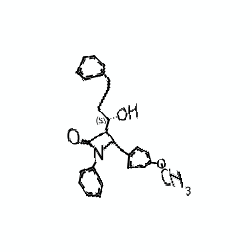 COc1ccc(C2C([C@@H](O)CCc3ccccc3)C(=O)N2c2ccccc2)cc1